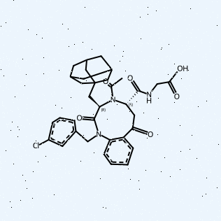 CC(=O)N1[C@H](CC23CC4CC(CC(C4)C2)C3)C(=O)N(Cc2cccc(Cl)c2)c2ccccc2C(=O)C[C@H]1C(=O)NCC(=O)O